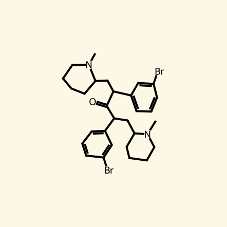 CN1CCCCC1CC(C(=O)C(CC1CCCCN1C)c1cccc(Br)c1)c1cccc(Br)c1